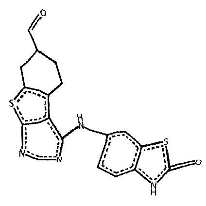 O=CC1CCc2c(sc3ncnc(Nc4ccc5[nH]c(=O)sc5c4)c23)C1